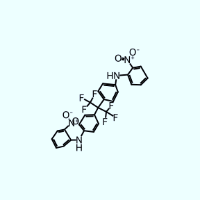 O=[N+]([O-])c1ccccc1Nc1ccc(C(c2ccc(Nc3ccccc3[N+](=O)[O-])cc2)(C(F)(F)F)C(F)(F)F)cc1